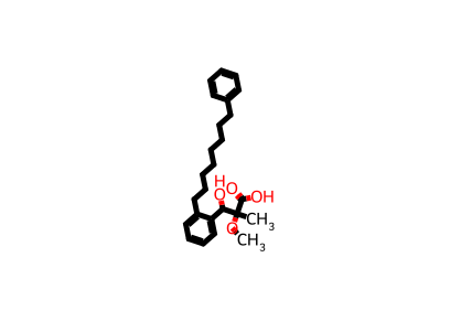 COC(C)(C(=O)O)C(O)c1ccccc1CCCCCCCCc1ccccc1